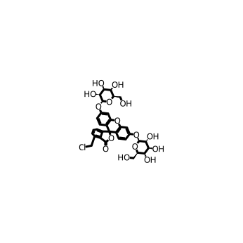 O=C1OC2(c3ccc(O[C@@H]4O[C@H](CO)[C@H](O)[C@H](O)[C@H]4O)cc3Oc3cc(O[C@@H]4O[C@H](CO)[C@H](O)[C@H](O)[C@H]4O)ccc32)c2cccc(CCl)c21